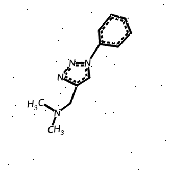 CN(C)Cc1cn(-c2cc[c]cc2)nn1